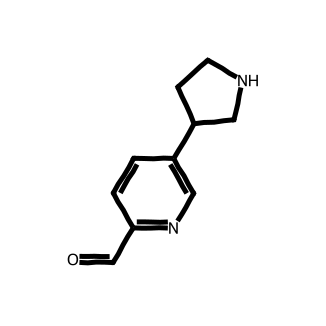 O=Cc1ccc(C2CCNC2)cn1